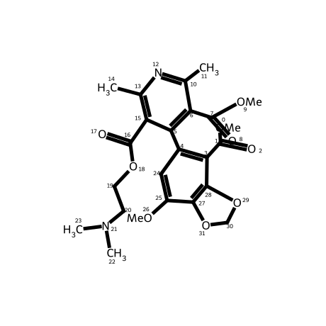 COC(=O)c1c(-c2c(C(=O)OC)c(C)nc(C)c2C(=O)OCCN(C)C)cc(OC)c2c1OCO2